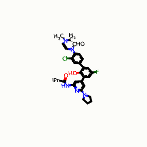 CC(C)C(=O)Nc1cc(-c2cc(F)cc(-c3ccc(N(C=O)/C=C\N(C)C)c(Cl)c3)c2O)cc(N2CCCC2)n1